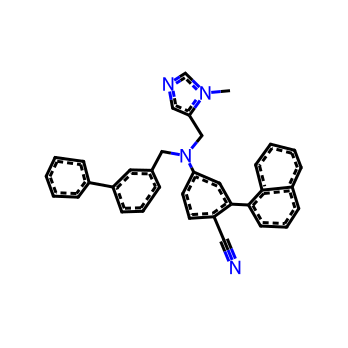 Cn1cncc1CN(Cc1cccc(-c2ccccc2)c1)c1ccc(C#N)c(-c2cccc3ccccc23)c1